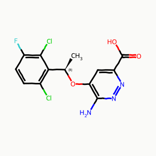 C[C@@H](Oc1cc(C(=O)O)nnc1N)c1c(Cl)ccc(F)c1Cl